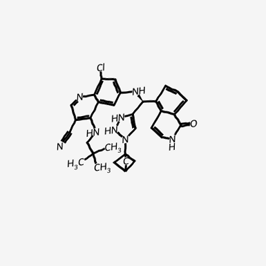 CC(C)(C)CNc1c(C#N)cnc2c(Cl)cc(N[C@H](C3=CN(C45CC(C4)C5)NN3)c3cccc4c(=O)[nH]ccc34)cc12